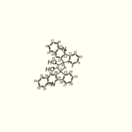 OCC1(CC2(CO)c3ccccc3-c3nc4ccccc4cc32)c2ccccc2-c2nc3ccccc3cc21